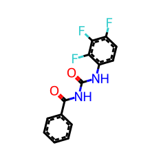 O=C(NC(=O)c1ccccc1)Nc1ccc(F)c(F)c1F